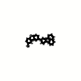 Brc1ccc2oc3ccc(-c4ccc5c(c4)-c4cccc6cccc-5c46)cc3c2c1